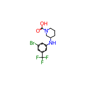 O=C(O)N1CCC[C@@H](Nc2cc(Br)cc(C(F)(F)F)c2)C1